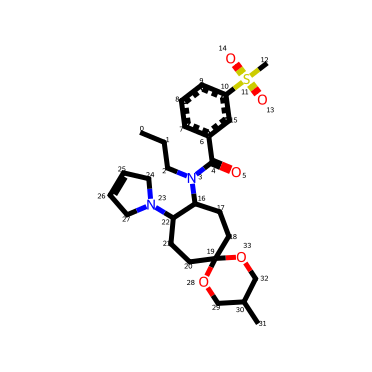 CCCN(C(=O)c1cccc(S(C)(=O)=O)c1)C1CCC2(CCC1N1CC=CC1)OCC(C)CO2